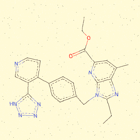 CCOC(=O)c1cc(C)c2nc(CC)n(Cc3ccc(-c4ccncc4-c4nnn[nH]4)cc3)c2n1